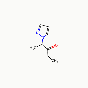 CCC(=O)C(C)n1cccn1